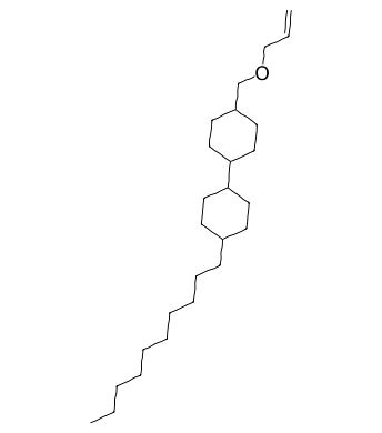 C=CCOCC1CCC(C2CCC(CCCCCCCCCC)CC2)CC1